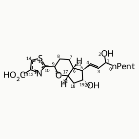 CCCCCC(O)/C=C/[C@@H]1[C@H]2CC[C@H](c3nc(C(=O)O)cs3)O[C@H]2C[C@H]1O